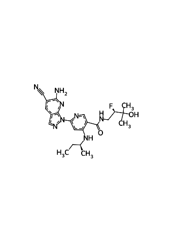 CC[C@H](C)Nc1cc(-n2ncc3cc(C#N)c(N)nc32)ncc1C(=O)NC[C@@H](F)C(C)(C)O